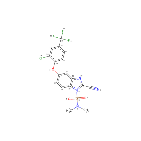 CN(C)S(=O)(=O)n1c(C#N)nc2cc(Oc3ccc(C(F)(F)F)cc3Cl)ccc21